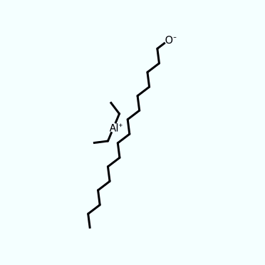 CCCCCCCCCCCCCCCC[O-].C[CH2][Al+][CH2]C